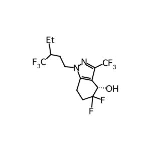 CCC(CCn1nc(C(F)(F)F)c2c1CCC(F)(F)[C@H]2O)C(F)(F)F